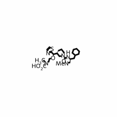 CNC[C@H](CC1CCCCC1)NC(=O)N1CCC[C@@H]([C@@H](OCCN(C)C(=O)O)c2nccs2)C1